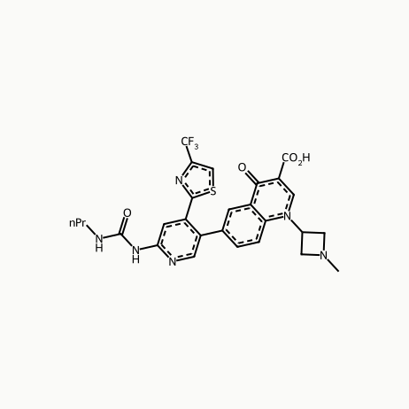 CCCNC(=O)Nc1cc(-c2nc(C(F)(F)F)cs2)c(-c2ccc3c(c2)c(=O)c(C(=O)O)cn3C2CN(C)C2)cn1